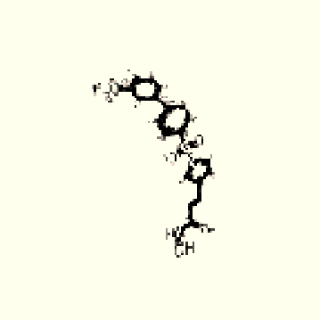 O=C(C=Cc1ccn(S(=O)(=O)c2ccc(-c3cccc(C(F)(F)F)c3)cc2)c1)NO